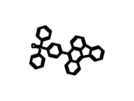 O=P(c1ccccc1)(c1ccccc1)c1ccc(-c2c3ccccc3c3c4c(cccc24)-c2ccccc2-3)cc1